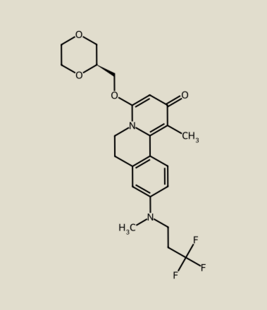 Cc1c2n(c(OC[C@@H]3COCCO3)cc1=O)CCc1cc(N(C)CCC(F)(F)F)ccc1-2